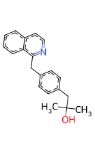 CC(C)(O)Cc1ccc(Cc2nccc3ccccc23)cc1